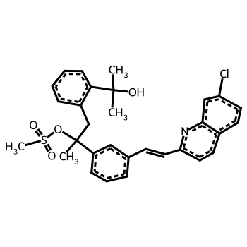 CC(C)(O)c1ccccc1CC(C)(OS(C)(=O)=O)c1cccc(C=Cc2ccc3ccc(Cl)cc3n2)c1